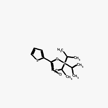 CC(C)[Si](OC(=CCl)c1cccs1)(C(C)C)C(C)C